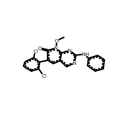 COn1c(=O)c(-c2c(Cl)cccc2Cl)cc2cnc(Nc3ccccc3)nc21